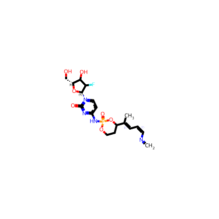 C=N/C=C\C=C(/C)C1CCOP(=O)(Nc2ccn([C@@H]3O[C@H](CO)C(O)C3F)c(=O)n2)O1